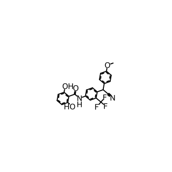 COc1ccc(C(C#N)c2ccc(NC(=O)c3c(O)cccc3O)cc2C(F)(F)F)cc1